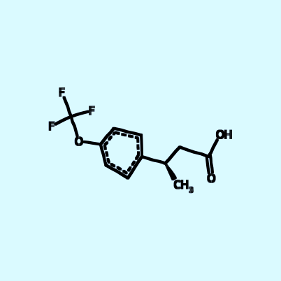 C[C@H](CC(=O)O)c1ccc(OC(F)(F)F)cc1